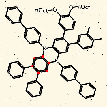 CCCCCCCCOc1ccc(-c2cc(N(c3ccc(-c4ccccc4)cc3)c3ccc(-c4ccccc4)cc3)c(N(c3ccc(-c4ccccc4)cc3)c3ccc(-c4ccccc4)cc3)cc2-c2ccc(C)c(C)c2)cc1OCCCCCCCC